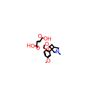 COc1cccc(C23CN(C)CC2CC32OCCO2)c1.O=C(O)/C=C/C(=O)O